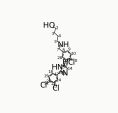 Cl.OCCCCNCc1cccc(-c2cnc(-c3ccc(Cl)c(Cl)c3)[nH]2)c1